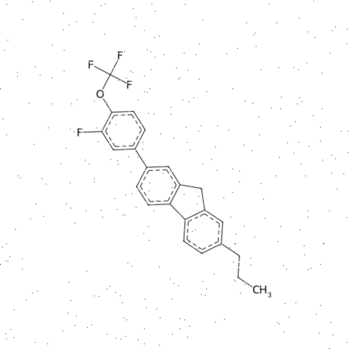 CCCc1ccc2c(c1)Cc1cc(-c3ccc(OC(F)(F)F)c(F)c3)ccc1-2